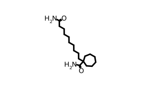 NC(=O)CCCCCCCCCC1(C(N)=O)CCCCCC1